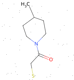 CC1CCN(C(=O)C[S])CC1